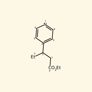 CCOC(=O)CC(CC)c1ccncc1